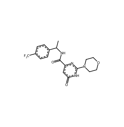 CC(NC(=O)c1cc(=O)[nH]c(N2CCOCC2)n1)c1ccc(C(F)(F)F)cc1